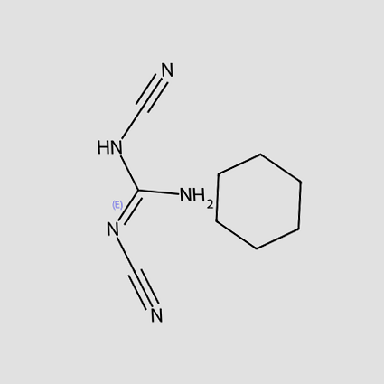 C1CCCCC1.N#C/N=C(\N)NC#N